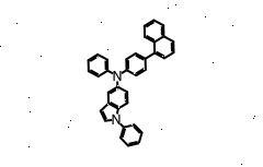 c1ccc(N(c2ccc(-c3cccc4ccccc34)cc2)c2ccc3c(ccn3-c3ccccc3)c2)cc1